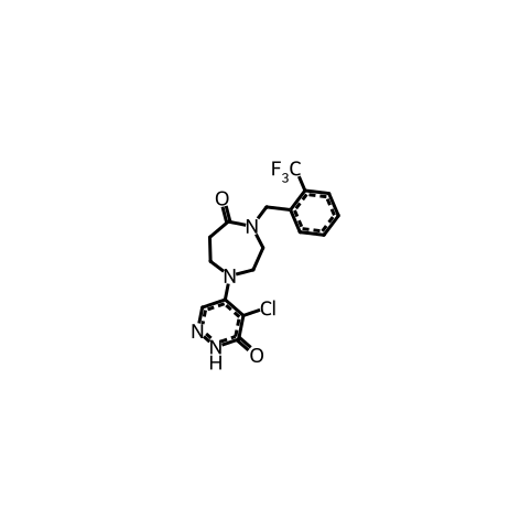 O=C1CCN(c2cn[nH]c(=O)c2Cl)CCN1Cc1ccccc1C(F)(F)F